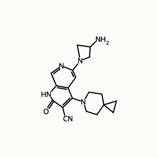 N#Cc1c(N2CCC3(CC2)CC3)c2cc(N3CC(N)C3)ncc2[nH]c1=O